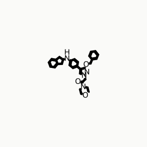 O=C(Cn1cc(-c2ccc(NC3Cc4ccccc4C3)cc2)c(OCc2ccccc2)n1)N1CCOCC1